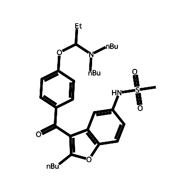 CCCCc1oc2ccc(NS(C)(=O)=O)cc2c1C(=O)c1ccc(OC(CC)N(CCCC)CCCC)cc1